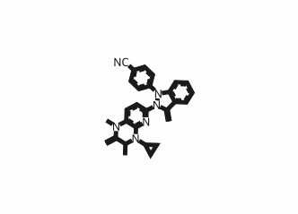 C=C1C(C)N(C2CC2)c2nc(N3C(=C)c4ccccc4N3c3ccc(C#N)cc3)ccc2N1C